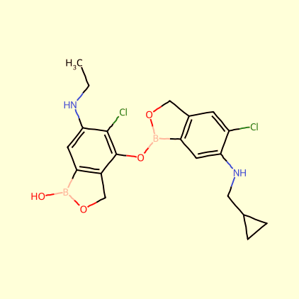 CCNc1cc2c(c(OB3OCc4cc(Cl)c(NCC5CC5)cc43)c1Cl)COB2O